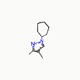 Cc1cn(C2CCCCC2)nc1C